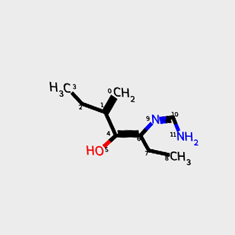 C=C(CC)/C(O)=C(CC)\N=C/N